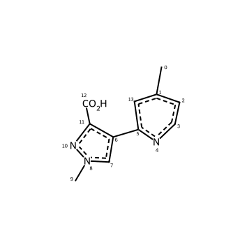 Cc1ccnc(-c2cn(C)nc2C(=O)O)c1